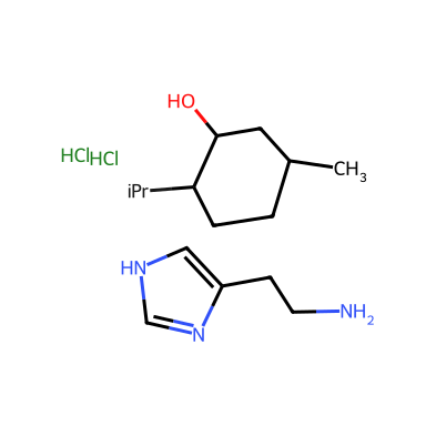 CC1CCC(C(C)C)C(O)C1.Cl.Cl.NCCc1c[nH]cn1